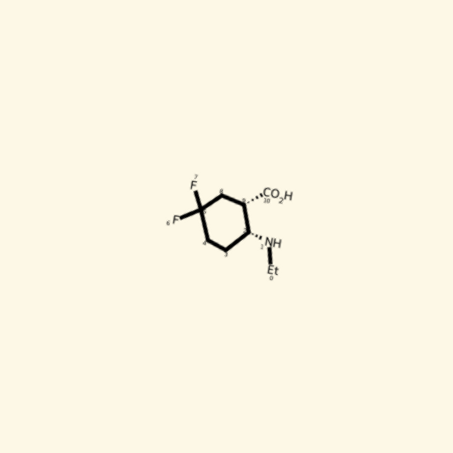 CCN[C@@H]1CCC(F)(F)C[C@@H]1C(=O)O